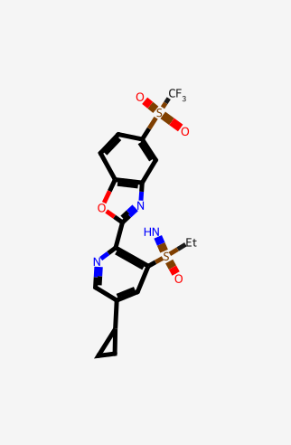 CCS(=N)(=O)c1cc(C2CC2)cnc1-c1nc2cc(S(=O)(=O)C(F)(F)F)ccc2o1